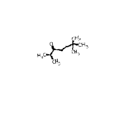 CC(C)C(=O)CCC(C)(C)C